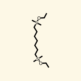 CCO[Si](C)(C)CCCCCCC[Si](C)(C)OCC